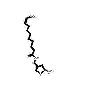 CCCCCCCC/C=C\CCCCCCCC(=O)OCC1COP(OC)C1